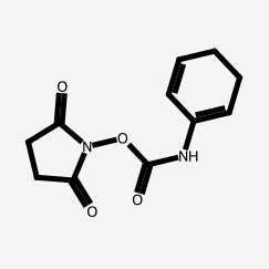 O=C(NC1=CCCC=C1)ON1C(=O)CCC1=O